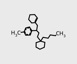 CCCCCC1(CCC(CC2=CCCCC2)c2ccc(C)cc2)CCCCC1